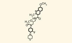 COc1ccc2cc(C(=O)NC[C@@H](CN(C=O)c3ccc(N4CCSCC4)c(F)c3)OC)c(C)nc2c1